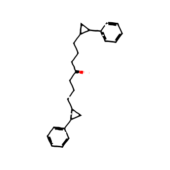 O=C(CCCC1CC1c1ccccc1)CCCC1CC1c1ccccc1